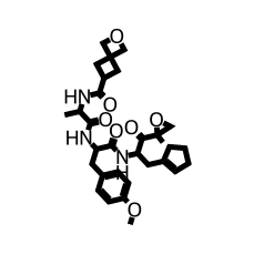 COc1ccc(CC(NC(=O)C(C)NC(=O)C2CC3(COC3)C2)C(=O)NC(CC2=CCCC2)C(=O)C2(C)CO2)cc1